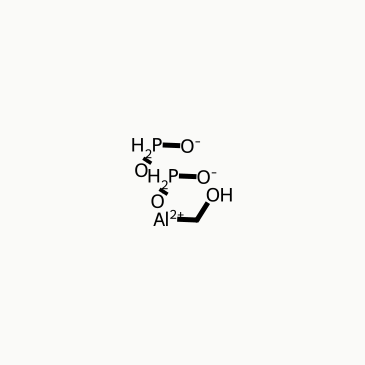 O=[PH2][O-].O=[PH2][O-].O[CH2][Al+2]